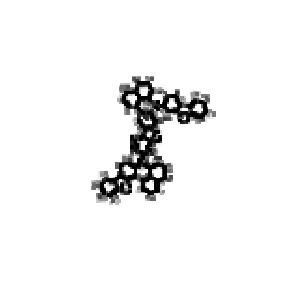 c1ccc2c(N(c3ccc4c(c3)oc3ccccc34)c3cc4sc5nc(N(c6ccc7c(c6)oc6ccccc67)c6cccc7ccccc67)nnc5c4cn3)cccc2c1